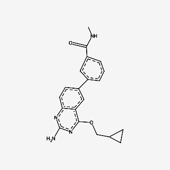 CNC(=O)c1cccc(-c2ccc3nc(N)nc(OCC4CC4)c3c2)c1